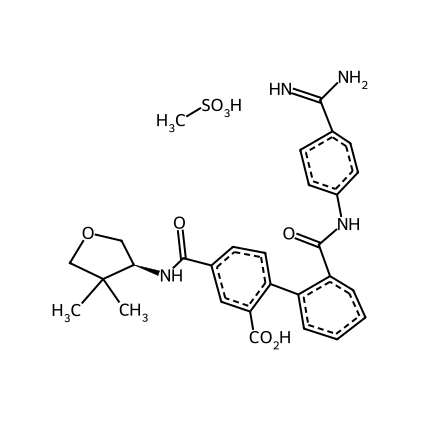 CC1(C)COC[C@H]1NC(=O)c1ccc(-c2ccccc2C(=O)Nc2ccc(C(=N)N)cc2)c(C(=O)O)c1.CS(=O)(=O)O